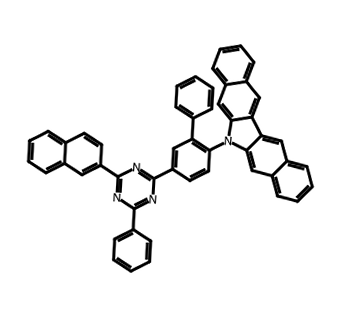 c1ccc(-c2nc(-c3ccc(-n4c5cc6ccccc6cc5c5cc6ccccc6cc54)c(-c4ccccc4)c3)nc(-c3ccc4ccccc4c3)n2)cc1